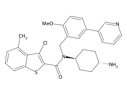 COc1ccc(-c2cccnc2)cc1CN(C(=O)c1sc2cccc(C)c2c1Cl)[C@H]1CC[C@H](N)CC1